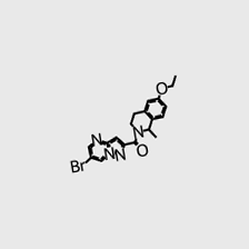 CCOc1ccc2c(c1)CCN(C(=O)c1cc3ncc(Br)cn3n1)C2C